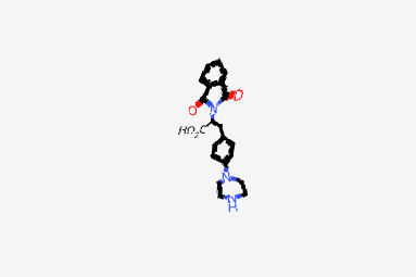 O=C(O)[C@H](Cc1ccc(N2CCNCC2)cc1)N1C(=O)c2ccccc2C1=O